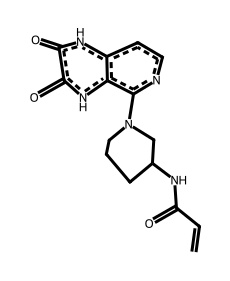 C=CC(=O)NC1CCCN(c2nccc3[nH]c(=O)c(=O)[nH]c23)C1